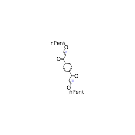 CCCCCO/C=C/C(=O)c1ccc(C(=O)/C=C/OCCCCC)cc1